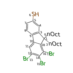 CCCCCCCCC1(CCCCCCCC)c2cc(S)ccc2-c2cc(Br)c(Br)c(Br)c21